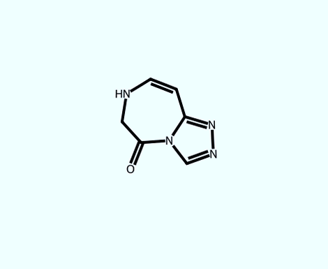 O=C1CNC=Cc2nncn21